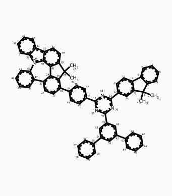 CC1(C)c2ccccc2-c2ccc(-c3nc(-c4ccc(-c5ccc6c7c5C(C)(C)c5ccc8c9ccccc9n(c8c5-7)-c5ccccc5-6)cc4)nc(-c4cc(-c5ccccc5)cc(-c5ccccc5)c4)n3)cc21